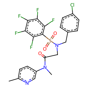 Cc1ccc(N(C)C(=O)CN(Cc2ccc(Cl)cc2)S(=O)(=O)c2c(F)c(F)c(F)c(F)c2F)cn1